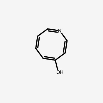 OC1=CC=CC=NC=C1